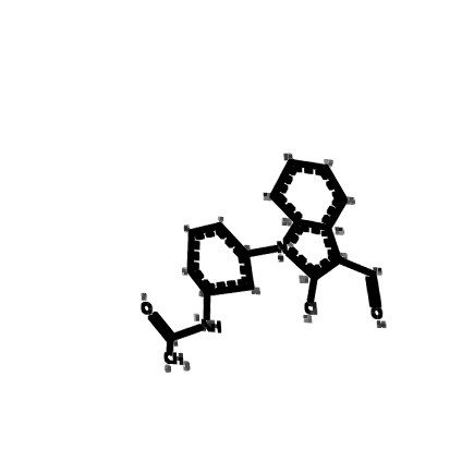 CC(=O)Nc1cccc(-n2c(Cl)c(C=O)c3ccccc32)c1